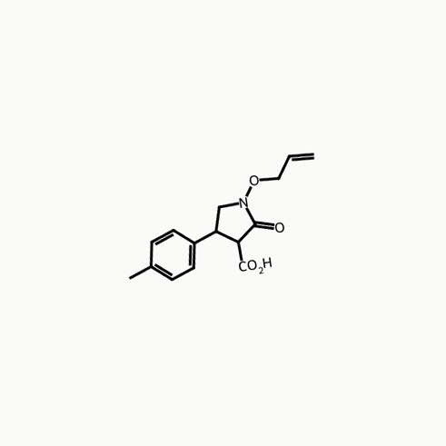 C=CCON1CC(c2ccc(C)cc2)C(C(=O)O)C1=O